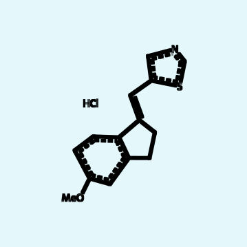 COc1ccc2c(c1)CC/C2=C\c1cncs1.Cl